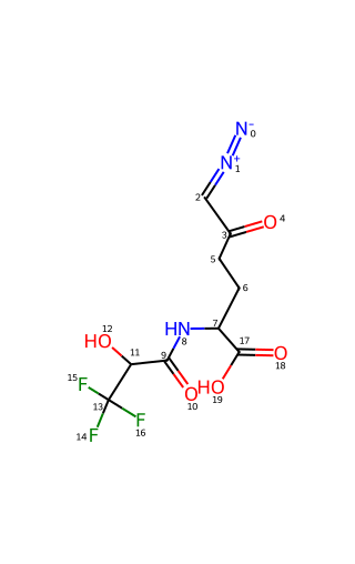 [N-]=[N+]=CC(=O)CCC(NC(=O)C(O)C(F)(F)F)C(=O)O